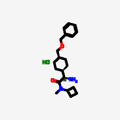 CN(C(=O)[C@@H](N)[C@H]1CC[C@H](COCc2ccccc2)CC1)C1CCC1.Cl